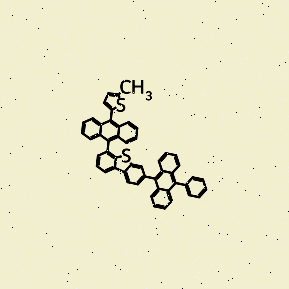 Cc1ccc(-c2c3ccccc3c(-c3cccc4c3sc3cc(-c5c6ccccc6c(-c6ccccc6)c6ccccc56)ccc34)c3ccccc23)s1